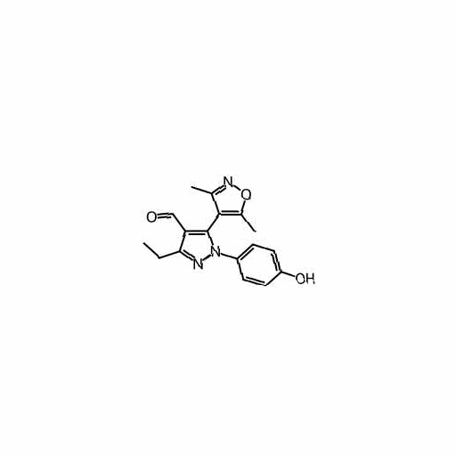 CCc1nn(-c2ccc(O)cc2)c(-c2c(C)noc2C)c1C=O